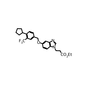 CCOC(=O)CCn1cnc2cc(OCc3ccc(C4CCCC4)c(C(F)(F)F)c3)ccc21